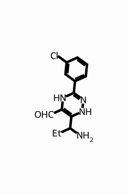 CCC(N)C1=C(C=O)NC(c2cccc(Cl)c2)=NN1